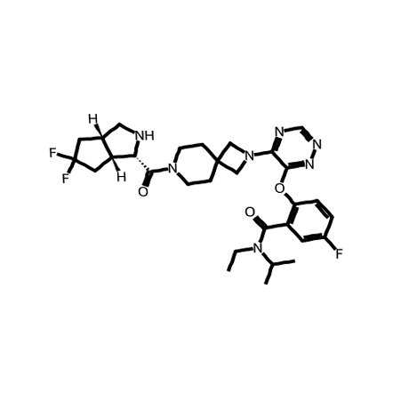 CCN(C(=O)c1cc(F)ccc1Oc1nncnc1N1CC2(CCN(C(=O)[C@H]3NC[C@H]4CC(F)(F)C[C@H]43)CC2)C1)C(C)C